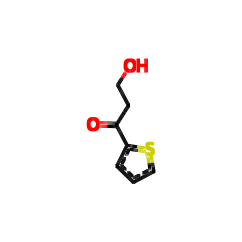 O=C(CCO)c1cccs1